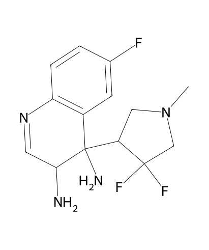 CN1CC(C2(N)c3cc(F)ccc3N=CC2N)C(F)(F)C1